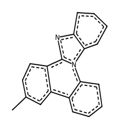 Cc1ccc2c(c1)c1ccccc1n1c3ccccc3nc21